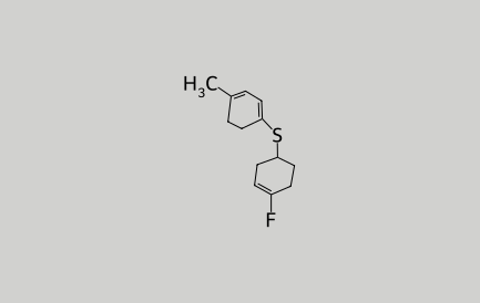 CC1=CC=C(SC2CC=C(F)CC2)CC1